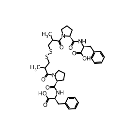 CC(CSSCC(C)C(=O)N1CCC[C@H]1C(=O)N[C@@H](Cc1ccccc1)C(=O)O)C(=O)N1CCC[C@H]1C(=O)N[C@@H](Cc1ccccc1)C(=O)O